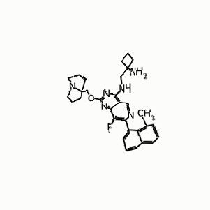 Cc1cccc2cccc(-c3ncc4c(NCC5(N)CCC5)nc(OCC56CCCN5CCC6)nc4c3F)c12